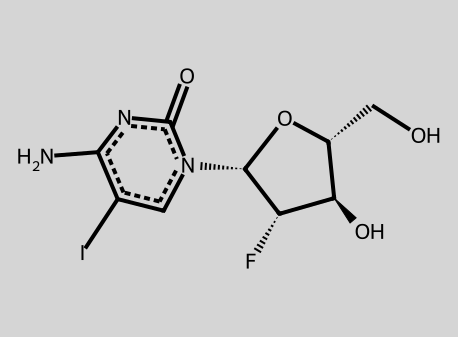 Nc1nc(=O)n([C@@H]2O[C@H](CO)[C@@H](O)[C@@H]2F)cc1I